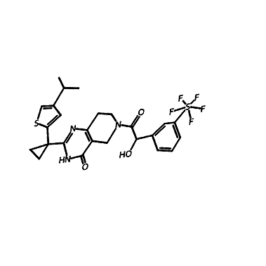 CC(C)c1csc(C2(c3nc4c(c(=O)[nH]3)CN(C(=O)C(O)c3cccc(S(F)(F)(F)(F)F)c3)CC4)CC2)c1